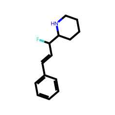 FC(C=Cc1ccccc1)C1CCCCN1